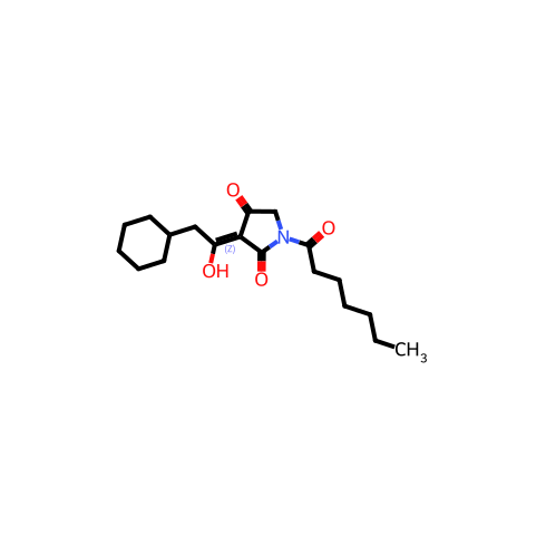 CCCCCCC(=O)N1CC(=O)/C(=C(/O)CC2CCCCC2)C1=O